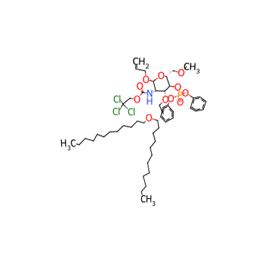 C=CCO[C@H]1O[C@H](COC)[C@@H](OP(=O)(Oc2ccccc2)Oc2ccccc2)[C@H](OCC[C@H](CCCCCCCCCCC)OCCCCCCCCCCCC)[C@@H]1NC(=O)OCC(Cl)(Cl)Cl